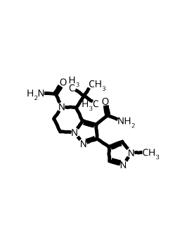 Cn1cc(-c2nn3c(c2C(N)=O)C(C(C)(C)C)N(C(N)=O)CC3)cn1